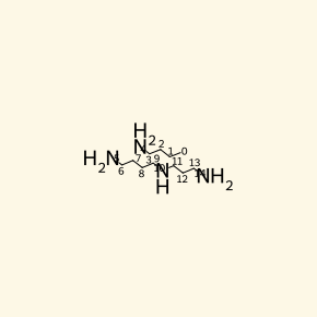 CCCCN.NCCCCNCCCN